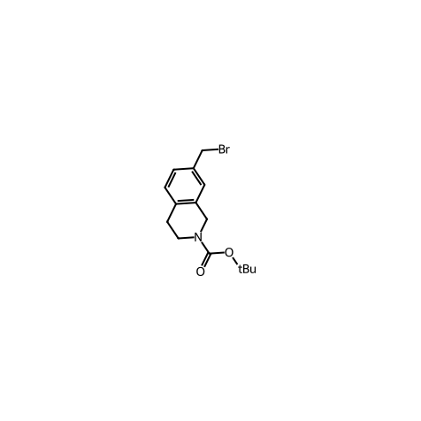 CC(C)(C)OC(=O)N1CCc2ccc(CBr)cc2C1